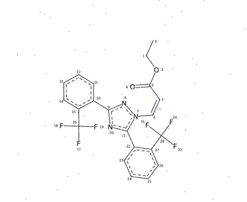 CCOC(=O)/C=C\n1nc(-c2ccccc2C(F)(F)F)nc1-c1ccccc1C(F)(F)F